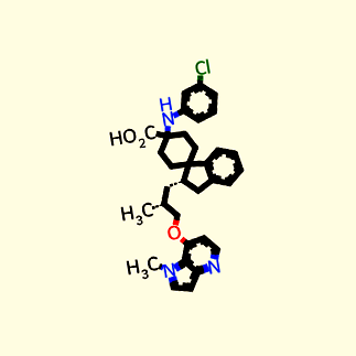 C[C@@H](COc1ccnc2ccn(C)c12)C[C@H]1Cc2ccccc2C12CCC(Nc1cccc(Cl)c1)(C(=O)O)CC2